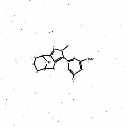 COc1cc(Cl)cc(-c2c3c(nn2C)C2CCCC(C3)N2)c1